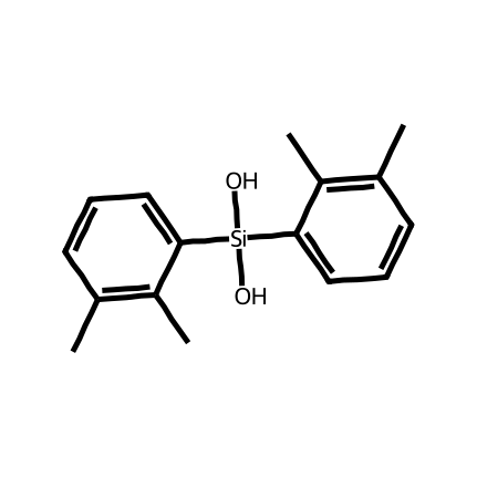 Cc1cccc([Si](O)(O)c2cccc(C)c2C)c1C